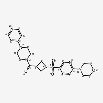 O=C(C1CN(S(=O)(=O)c2ccc(N3CCOCC3)nc2)C1)N1CCN(c2ccncc2)CC1